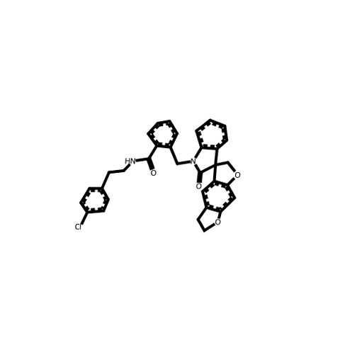 O=C(NCCc1ccc(Cl)cc1)c1ccccc1CN1C(=O)C2(COc3cc4c(cc32)CCO4)c2ccccc21